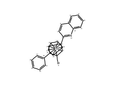 Br[C]12[CH]3[C]4(c5ccc6ccccc6n5)[CH]5[C]1(c1ccccc1)[Fe]35421678[CH]2[CH]1[CH]6[CH]7[CH]28